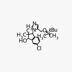 CC1(C)C(O)c2cc(Cl)ccc2C1n1cncc1CO[Si](C)(C)C(C)(C)C